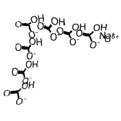 O=C([O-])O.O=C([O-])O.O=C([O-])O.O=C([O-])O.O=C([O-])O.O=C([O-])O.O=C([O-])O.[Na+].[U+6]